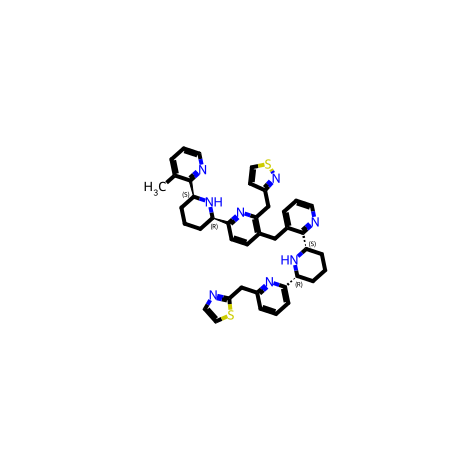 Cc1cccnc1[C@@H]1CCC[C@H](c2ccc(Cc3cccnc3[C@@H]3CCC[C@H](c4cccc(Cc5nccs5)n4)N3)c(Cc3ccsn3)n2)N1